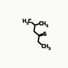 CCC(=S)CC(C)C